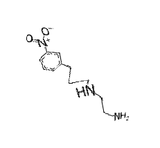 NCCNCCCc1cccc([N+](=O)[O-])c1